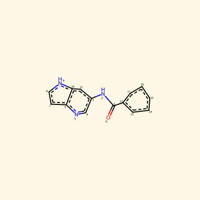 O=C(Nc1cnc2cc[nH]c2c1)c1ccccc1